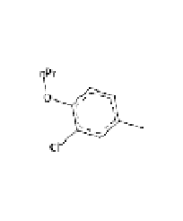 CCCOc1ccc(C)cc1Cl